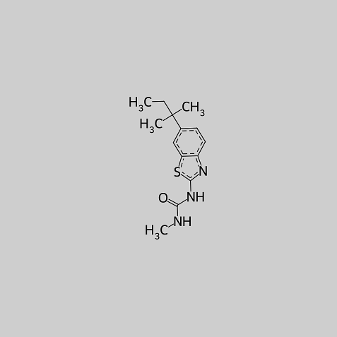 CCC(C)(C)c1ccc2nc(NC(=O)NC)sc2c1